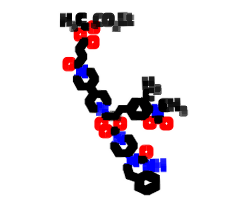 CCOC(=O)OC(C)OC(=O)CCC(=O)N1CCC(C2CCN(C(=O)[C@@H](Cc3cc(C)c4c(c3)oc(=O)n4C)OC(=O)N3CCC(N4CCc5ccccc5NC4=O)CC3)CC2)CC1